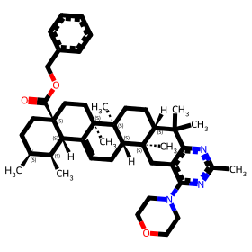 Cc1nc(N2CCOCC2)c2c(n1)C(C)(C)[C@H]1CC[C@@]3(C)[C@@H](CC=C4[C@@H]5[C@@H](C)[C@@H](C)CC[C@]5(C(=O)OCc5ccccc5)CC[C@]43C)[C@]1(C)C2